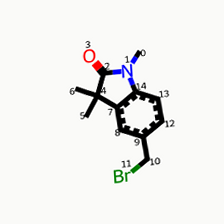 CN1C(=O)C(C)(C)c2cc(CBr)ccc21